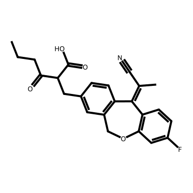 CCCC(=O)C(Cc1ccc2c(c1)COc1cc(F)ccc1/C2=C(\C)C#N)C(=O)O